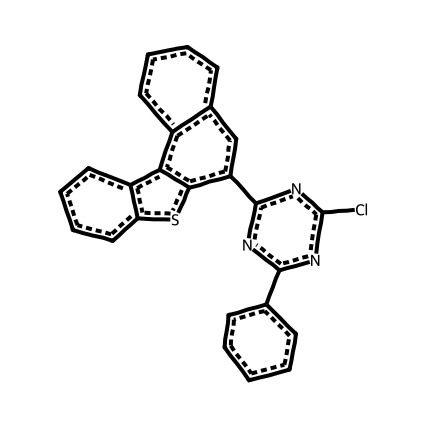 Clc1nc(-c2ccccc2)nc(-c2cc3ccccc3c3c2sc2ccccc23)n1